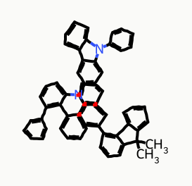 CC1(C)c2ccccc2-c2c(-c3ccc(N(c4ccc5c(c4)c4ccccc4n5-c4ccccc4)c4cccc(-c5ccccc5)c4-c4ccccc4-c4ccccc4)cc3)cccc21